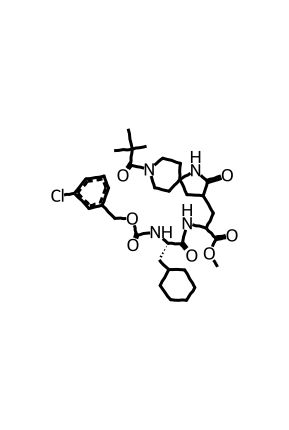 COC(=O)C(CC1CC2(CCN(C(=O)C(C)(C)C)CC2)NC1=O)NC(=O)[C@H](CC1CCCCC1)NC(=O)OCc1cccc(Cl)c1